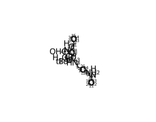 CC(C)(C)[Si](C)(C)O[C@@H](CNCCc1ccc(NCC(N)c2ccccc2)cc1)c1ccc(OCc2ccccc2)c(NC=O)c1